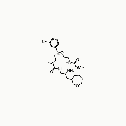 COC(=O)NCCO[C@H](CCN(C)C(=O)NCC(N)CC1CCCCOC1)c1cccc(Cl)c1